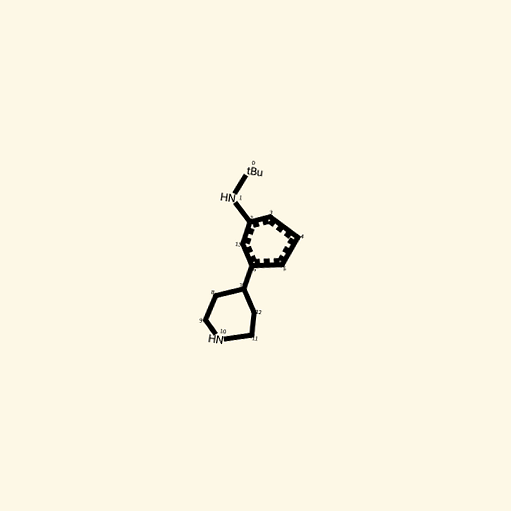 CC(C)(C)Nc1cccc(C2CCNCC2)c1